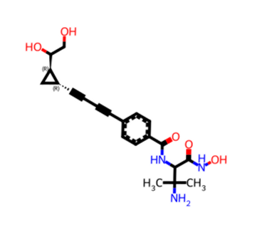 CC(C)(N)C(NC(=O)c1ccc(C#CC#C[C@@H]2C[C@H]2C(O)CO)cc1)C(=O)NO